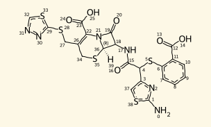 Nc1nc(C(Sc2ccccc2C(=O)O)C(=O)NC2C(=O)N3C(C(=O)O)=C(CSc4nncs4)CS[C@H]23)cs1